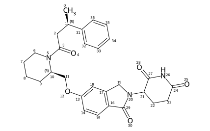 C[C@H](CC(=O)N1CCCC[C@@H]1COc1ccc2c(c1)CN(C1CCC(=O)NC1=O)C2=O)c1ccccc1